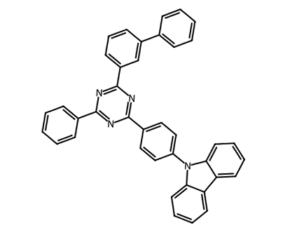 c1ccc(-c2cccc(-c3nc(-c4ccccc4)nc(-c4ccc(-n5c6ccccc6c6ccccc65)cc4)n3)c2)cc1